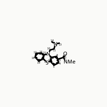 CNC(=O)c1ccc2c(c1)N(CCN(C)C)c1ccccc1S2